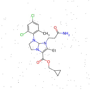 CCC1=C(C(=O)OCC2CC2)N2CCN(c3c(C)cc(Cl)cc3Cl)C2N1CCC(N)=O